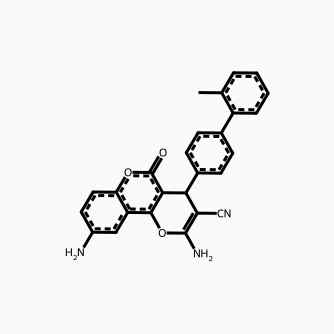 Cc1ccccc1-c1ccc(C2C(C#N)=C(N)Oc3c2c(=O)oc2ccc(N)cc32)cc1